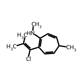 CNC1=C(C(Cl)=C(C)C)C=CC(C)C=C1